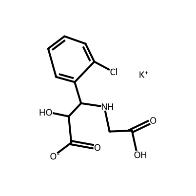 O=C(O)CNC(c1ccccc1Cl)C(O)C(=O)[O-].[K+]